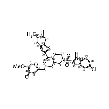 COc1coc(CCCC2CN(S(=O)(=O)c3cc4cc(Cl)ccc4[nH]3)CCN2C(=O)c2nc3c(s2)CNC(C)C3)cc1=O